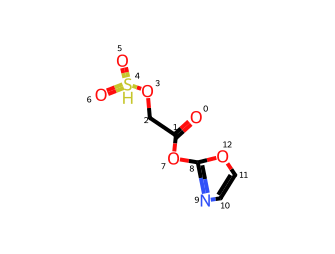 O=C(CO[SH](=O)=O)Oc1ncco1